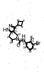 CC1Cc2[nH]nc(C3CCC3)c2CN1C(=O)Nc1cccc(Br)c1F